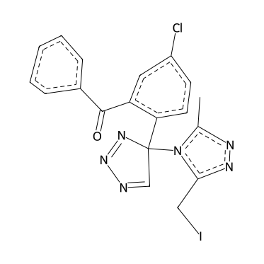 Cc1nnc(CI)n1C1(c2ccc(Cl)cc2C(=O)c2ccccc2)C=NN=N1